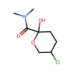 CN(C)C(=O)C1(O)CCC(Cl)CO1